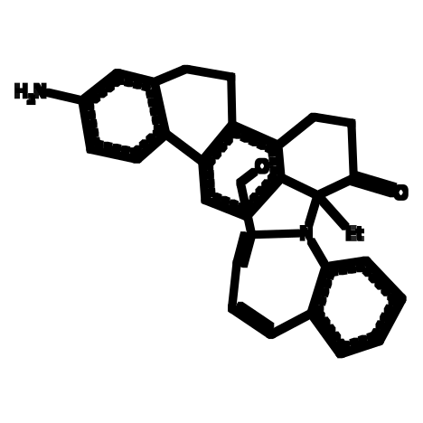 CCC1(N2C(C[O])=CC=Cc3ccccc32)C(=O)CCc2c1ccc1c2CCc2cc(N)ccc2-1